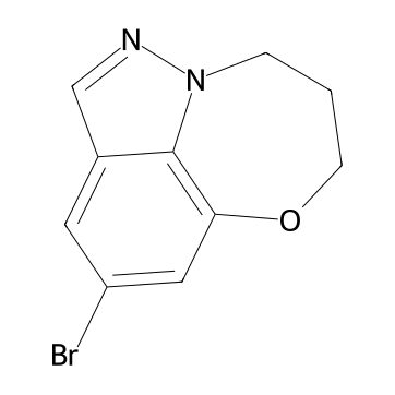 Brc1cc2c3c(cnn3CCCO2)c1